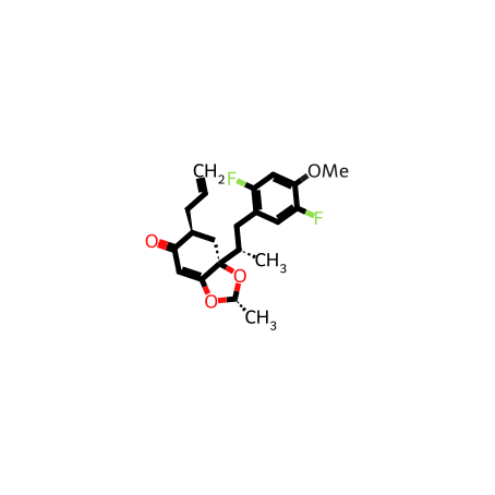 C=CC[C@H]1C[C@]2([C@@H](C)Cc3cc(F)c(OC)cc3F)O[C@H](C)OC2=CC1=O